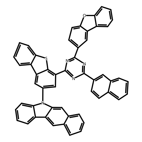 c1ccc2cc(-c3nc(-c4ccc5oc6ccccc6c5c4)nc(-c4cc(-n5c6ccccc6c6cc7ccccc7cc65)cc5c4sc4ccccc45)n3)ccc2c1